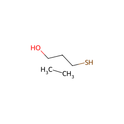 CC.OCCCS